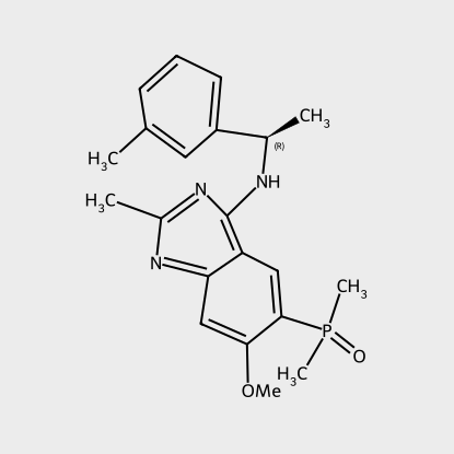 COc1cc2nc(C)nc(N[C@H](C)c3cccc(C)c3)c2cc1P(C)(C)=O